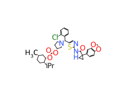 CC(C)[C@H]1CC[C@H](C)C[C@@H]1OC(=O)O[C@@H]1CCN([C@@H](c2cnc(NC(=O)C3(c4ccc5c(c4)OCO5)CC3)s2)c2ccccc2Cl)C1